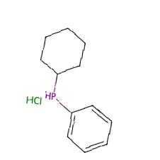 Cl.c1ccc(PC2CCCCC2)cc1